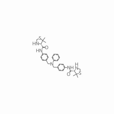 CC1(C)SCN[C@@H]1C(=O)Nc1ccc(CN(Cc2ccc(NC(=O)[C@H]3NCSC3(C)C)cc2)c2ccccc2)cc1